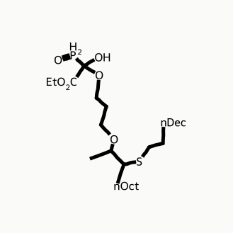 CCCCCCCCCCCCSC(CCCCCCCC)C(C)OCCCOC(O)([PH2]=O)C(=O)OCC